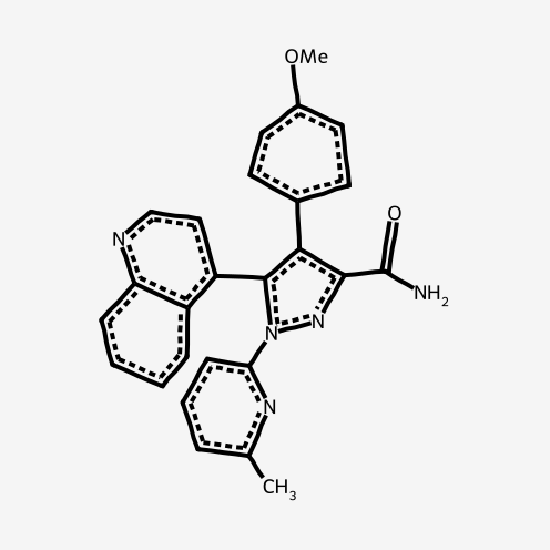 COc1ccc(-c2c(C(N)=O)nn(-c3cccc(C)n3)c2-c2ccnc3ccccc23)cc1